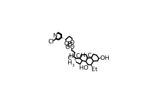 CC[C@@H]1C2C[C@H](O)CC[C@]2(C)C2CC[C@@]3(C)C(CC[C@@H]3[C@H](C)CCO[P@]3(=O)OCC[C@@H](c4ccnc(Cl)c4)O3)C2[C@@H]1O